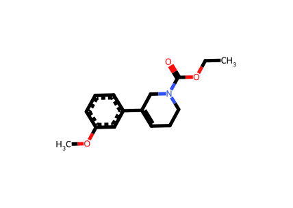 CCOC(=O)N1CCC=C(c2cccc(OC)c2)C1